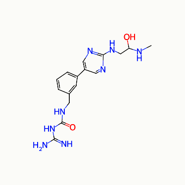 CNC(O)CNc1ncc(-c2cccc(CNC(=O)NC(=N)N)c2)cn1